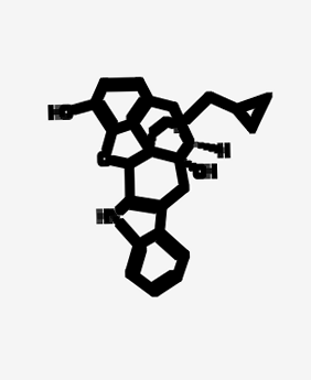 Oc1ccc2c3c1OC1c4[nH]c5ccccc5c4C[C@]4(O)[C@H](C2)N(CC2CC2)CC[C@@]314